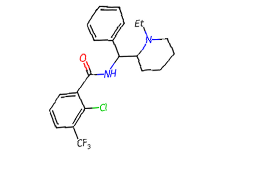 CCN1CCCCC1C(NC(=O)c1cccc(C(F)(F)F)c1Cl)c1ccccc1